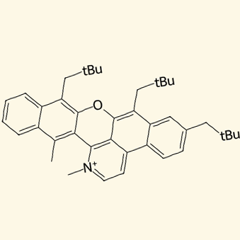 Cc1c2c(c(CC(C)(C)C)c3ccccc13)Oc1c(CC(C)(C)C)c3cc(CC(C)(C)C)ccc3c3cc[n+](C)c-2c13